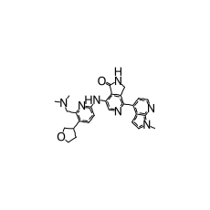 CN(C)Cc1nc(Nc2cnc(-c3ccnc4c3ccn4C)c3c2C(=O)NC3)ccc1C1CCOC1